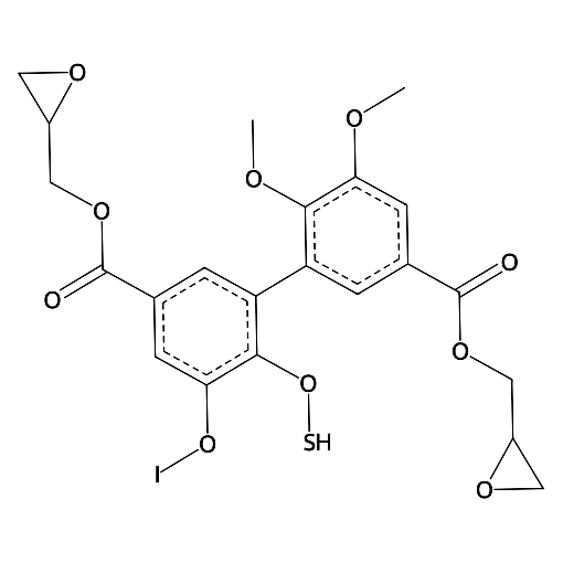 COc1cc(C(=O)OCC2CO2)cc(-c2cc(C(=O)OCC3CO3)cc(OI)c2OS)c1OC